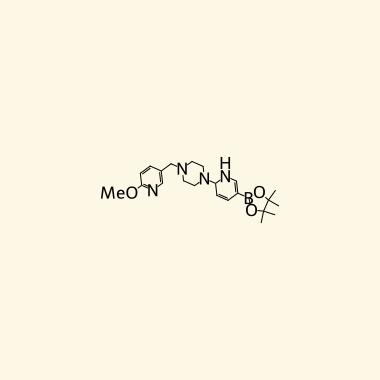 COc1ccc(CN2CCN(C3C=CC(B4OC(C)(C)C(C)(C)O4)=CN3)CC2)cn1